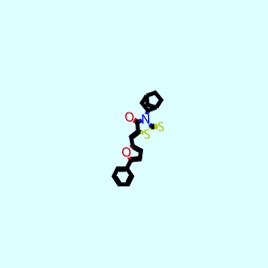 O=C1/C(=C/c2ccc(-c3ccccc3)o2)SC(=S)N1C1CC2CCC1C2